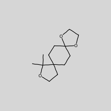 CC1(C)OCCC12CCC1(CC2)OCCO1